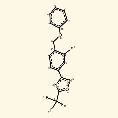 Fc1cc(-c2noc(C(F)(F)F)n2)ccc1COc1ccccc1